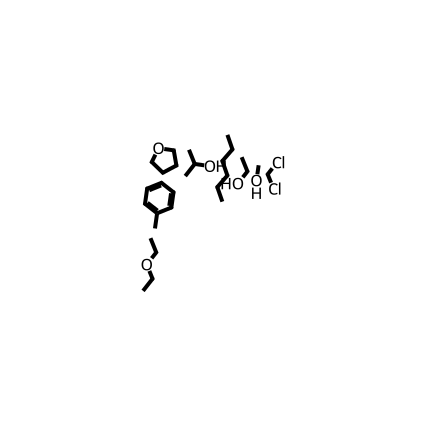 C1CCOC1.CC(C)O.CCCCCC.CCO.CCOCC.CO.Cc1ccccc1.ClCCl